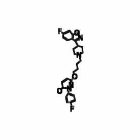 O=c1ccc(OCCCCN2CCC(c3noc4cc(F)ccc34)CC2)nn1-c1ccc(F)cc1